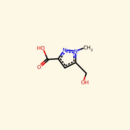 Cn1nc(C(=O)O)cc1CO